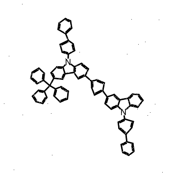 c1ccc(-c2ccc(-n3c4ccccc4c4cc(-c5ccc(-c6ccc7c(c6)c6cc(C(c8ccccc8)(c8ccccc8)c8ccccc8)ccc6n7-c6ccc(-c7ccccc7)cc6)cc5)ccc43)cc2)cc1